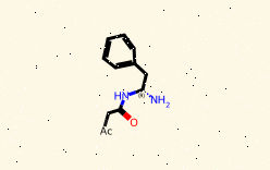 CC(=O)CC(=O)N[C@@H](N)Cc1ccccc1